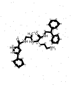 CC(CNC(=O)c1cc(-c2ccccc2)n[nH]1)N[C@@H](CCCN)C(=O)NCC(c1ccccc1)c1ccccc1